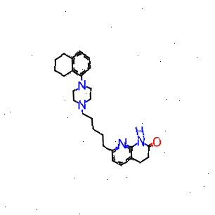 O=C1CCc2ccc(CCCCCN3CCN(c4cccc5c4CCCC5)CC3)nc2N1